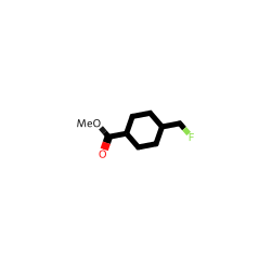 COC(=O)C1CCC(CF)CC1